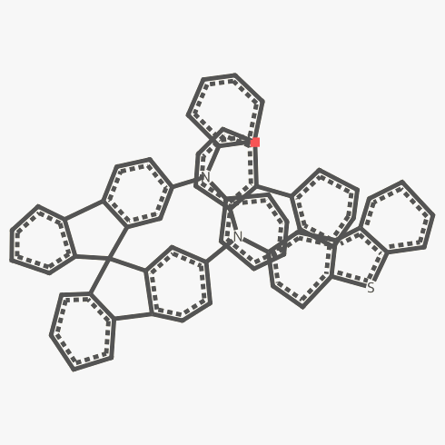 c1ccc(-c2ccccc2N(c2ccc3c(c2)C2(c4ccccc4-c4ccc(N(c5ccccc5)c5ccccc5)cc42)c2ccccc2-3)c2ccc3sc4ccccc4c3c2)cc1